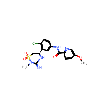 COc1ccc(C(=O)Nc2ccc(Cl)c([C@@H]3CS(=O)(=O)N(C)C(=N)N3)c2)nc1